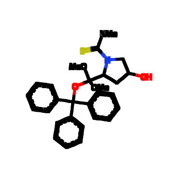 CNC(=S)N1CC(O)CC1C(OC)(OC)OC(c1ccccc1)(c1ccccc1)c1ccccc1